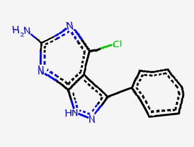 Nc1nc(Cl)c2c(-c3ccccc3)n[nH]c2n1